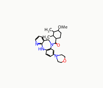 COC1CCC(C(=O)N2Cc3cccnc3Nc3ccc(N4CCOCC4)cc32)C(C)C1C